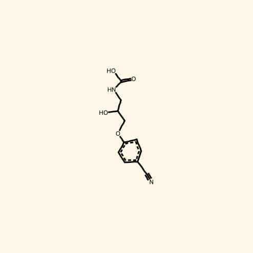 N#Cc1ccc(OCC(O)CNC(=O)O)cc1